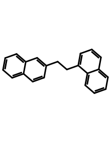 c1ccc2cc(CCc3cccc4ccccc34)ccc2c1